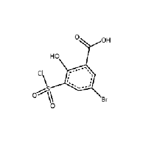 O=C(O)c1cc(Br)cc(S(=O)(=O)Cl)c1O